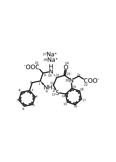 N[C@@H](Cc1ccccc1)C(N[C@H]1CSc2ccccc2N(CC(=O)[O-])C1=O)C(=O)[O-].[Na+].[Na+]